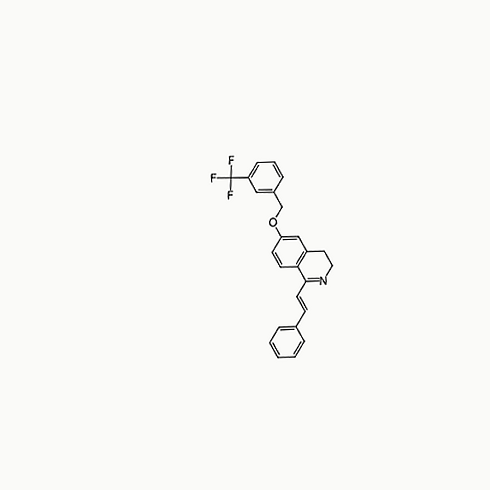 FC(F)(F)c1cccc(COc2ccc3c(c2)CCN=C3/C=C/c2ccccc2)c1